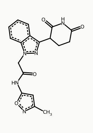 Cc1cc(NC(=O)Cn2nc(C3CCC(=O)NC3=O)c3ccccc32)on1